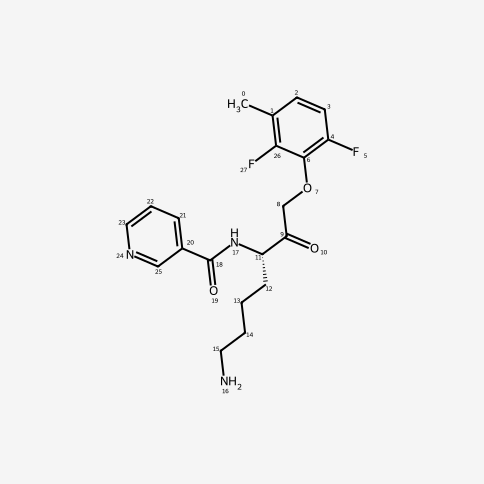 Cc1ccc(F)c(OCC(=O)[C@H](CCCCN)NC(=O)c2cccnc2)c1F